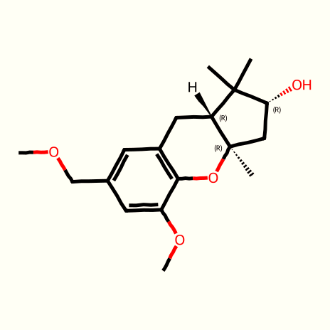 COCc1cc2c(c(OC)c1)O[C@]1(C)C[C@@H](O)C(C)(C)[C@H]1C2